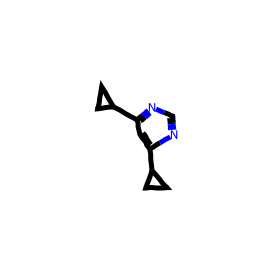 c1nc(C2CC2)cc(C2CC2)n1